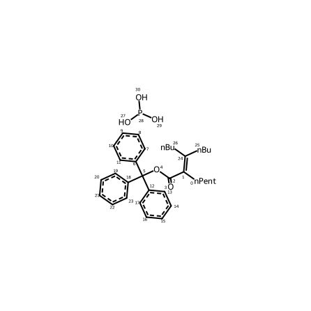 CCCCCC(C(=O)OC(c1ccccc1)(c1ccccc1)c1ccccc1)=C(CCCC)CCCC.OP(O)O